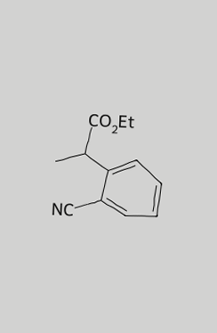 CCOC(=O)C(C)c1ccccc1C#N